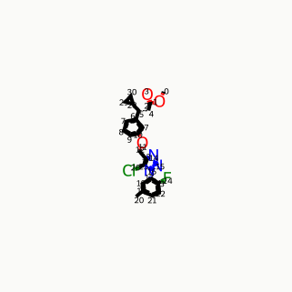 COC(=O)C[C@H](c1cccc(OCc2nnn(-c3cc(C)ccc3F)c2Cl)c1)C1CC1